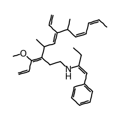 C=C/C(OC)=C(\CCN/C(=C\c1ccccc1)CC)C(C)/C=C(\C=C)C(C)/C=C\C=C/C